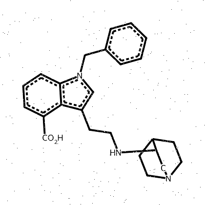 O=C(O)c1cccc2c1c(CCNC1CN3CCC1CC3)cn2Cc1ccccc1